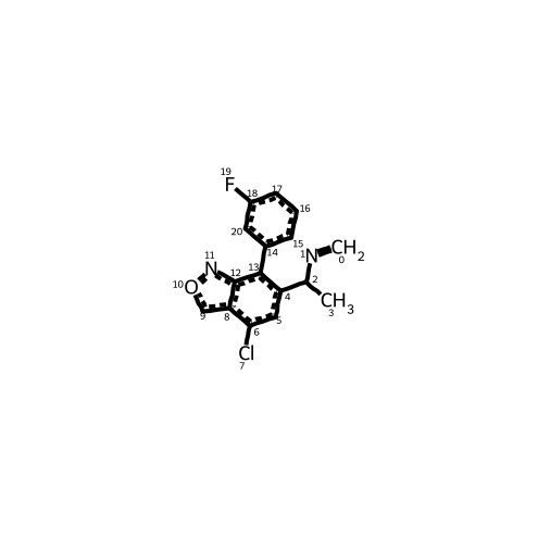 C=NC(C)c1cc(Cl)c2conc2c1-c1cccc(F)c1